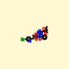 COc1cccc(OC)c1-n1c(NS(=O)(=O)C(C)Cc2ccc(Br)cn2)nnc1-c1ccc(C)o1